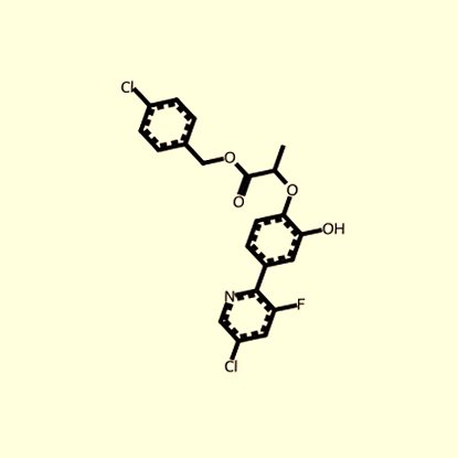 CC(Oc1ccc(-c2ncc(Cl)cc2F)cc1O)C(=O)OCc1ccc(Cl)cc1